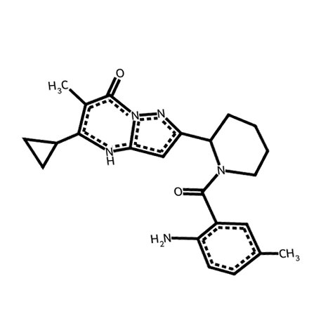 Cc1ccc(N)c(C(=O)N2CCCCC2c2cc3[nH]c(C4CC4)c(C)c(=O)n3n2)c1